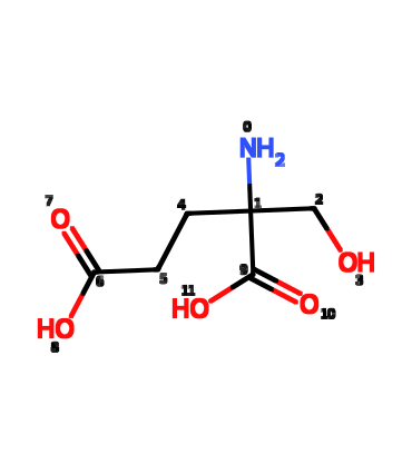 NC(CO)(CCC(=O)O)C(=O)O